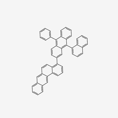 c1ccc(-c2c3ccccc3c(-c3cccc4ccccc34)c3cc(-c4cccc5c4ccc4cc6ccccc6cc45)ccc23)cc1